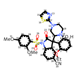 CCOc1ccccc1C1(C2CN(c3nccs3)CCN2C(=O)O)C(=O)N(S(=O)(=O)c2ccc(OC)cc2OC)c2ccc(C#N)cc21